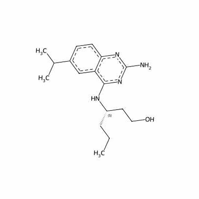 CCC[C@@H](CCO)Nc1nc(N)nc2ccc(C(C)C)cc12